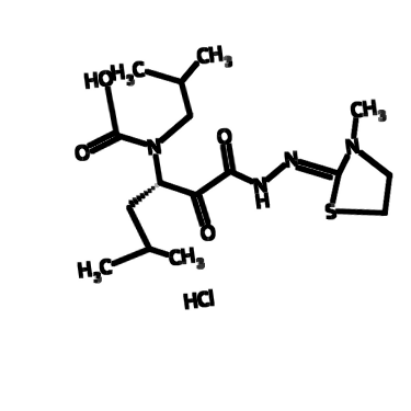 CC(C)C[C@@H](C(=O)C(=O)N/N=C1\SCCN1C)N(CC(C)C)C(=O)O.Cl